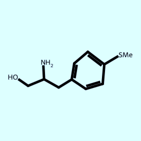 CSc1ccc(CC(N)CO)cc1